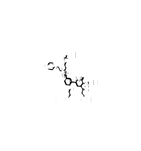 CCCOc1ccc(S(=O)(=O)N(CCOC(C)=O)CCN2CCOCC2)cc1-c1cc2c(CCC)nn(C)c2c(=O)[nH]1